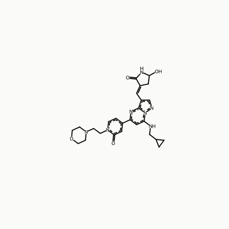 O=C1NC(O)C/C1=C\c1cnn2c(NCC3CC3)cc(-c3ccn(CCN4CCOCC4)c(=O)c3)nc12